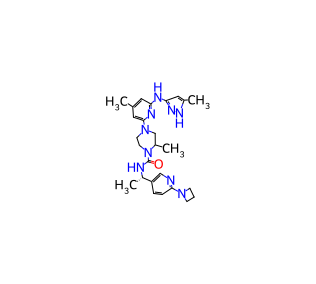 Cc1cc(Nc2cc(C)[nH]n2)nc(N2CCN(C(=O)N[C@@H](C)c3ccc(N4CCC4)nc3)C(C)C2)c1